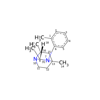 Cc1ccccc1N1[C@@H](C)N2CCC1(C)CC2C